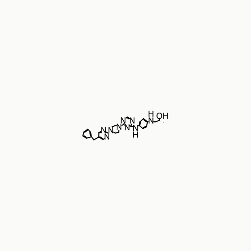 C[C@@H](O)CNc1ccc(Nc2ncnc(N3CCN(c4ncc(Cc5ccccc5)cn4)CC3)n2)cc1